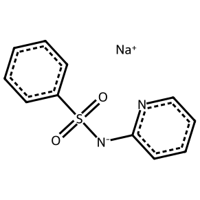 O=S(=O)([N-]c1ccccn1)c1ccccc1.[Na+]